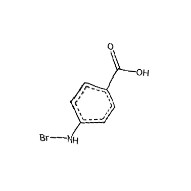 O=C(O)c1ccc(NBr)cc1